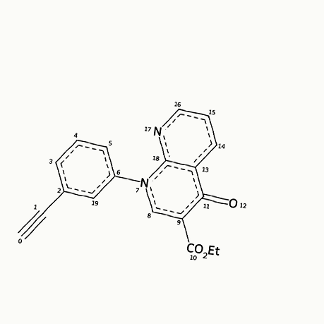 C#Cc1cccc(-n2cc(C(=O)OCC)c(=O)c3cccnc32)c1